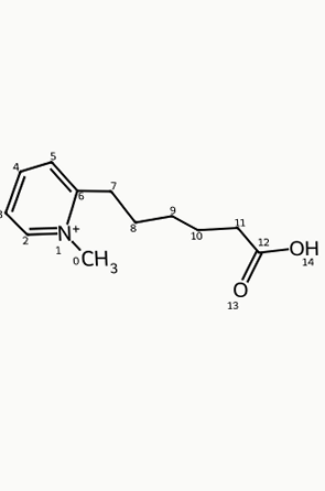 C[n+]1ccccc1CCCCCC(=O)O